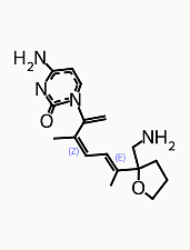 C=C(/C(C)=C\C=C(/C)C1(CN)CCCO1)n1ccc(N)nc1=O